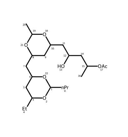 CCCC1OC(CC)CC(CC2CC(CC(O)CC(C)OC(C)=O)OC(C)O2)O1